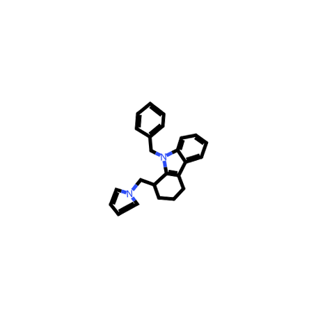 c1ccc(Cn2c3c(c4ccccc42)CCCC3Cn2cccc2)cc1